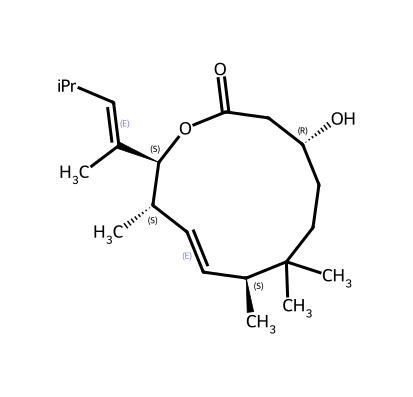 C/C(=C\C(C)C)[C@H]1OC(=O)C[C@H](O)CCC(C)(C)[C@@H](C)/C=C/[C@@H]1C